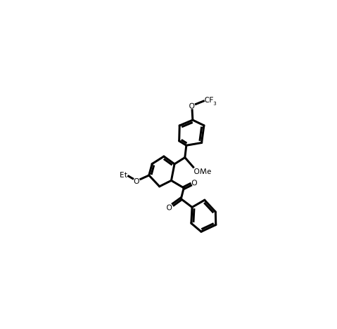 CCOC1=CC=C(C(OC)c2ccc(OC(F)(F)F)cc2)C(C(=O)C(=O)c2ccccc2)C1